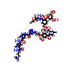 C=C1CC2C(OC)N(C(=O)OCc3ccc(O[C@H]4C[C@@H](O)C[C@@H](C=O)O4)c(C(=O)NCC(C)(C)OCC)c3)c3cc(OCCCn4cc(C(=O)Nc5cc(C(=O)Nc6cc(C(=O)NCCCN(C)C)n(C)c6)n(C)c5)nn4)c(OC)cc3C(=O)N2C1